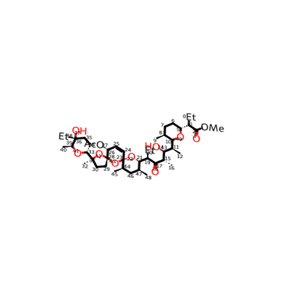 CCC(C(=O)OC)[C@H]1CC[C@H](C)C([C@@H](C)[C@H](O)[C@H](C)C(=O)[C@H](CC)[C@H]2O[C@]3(C=C[C@@H](OC(C)=O)[C@]4(CC[C@@](C)([C@H]5CC[C@](O)(CC)[C@H](C)O5)O4)O3)[C@H](C)C[C@@H]2C)O1